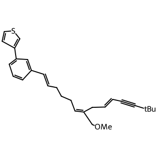 COCC(=CCCCC=Cc1cccc(-c2ccsc2)c1)CC=CC#CC(C)(C)C